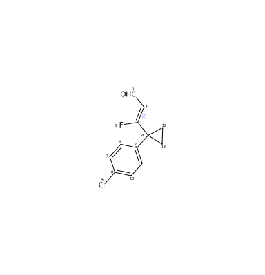 O=C/C=C(\F)C1(c2ccc(Cl)cc2)CC1